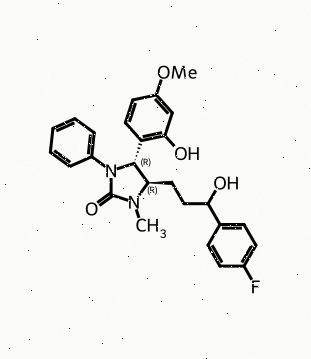 COc1ccc([C@@H]2[C@@H](CCC(O)c3ccc(F)cc3)N(C)C(=O)N2c2ccccc2)c(O)c1